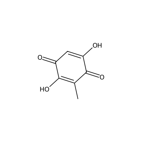 CC1=C(O)C(=O)C=C(O)C1=O